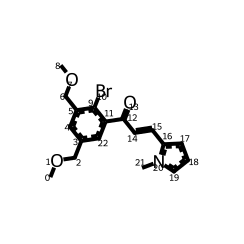 COCc1cc(COC)c(Br)c(C(=O)/C=C/c2cccn2C)c1